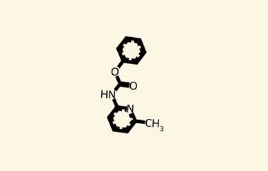 Cc1cccc(NC(=O)Oc2ccccc2)n1